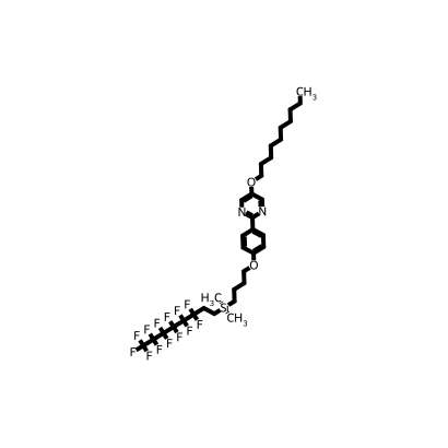 CCCCCCCCCCOc1cnc(-c2ccc(OCCCC[Si](C)(C)CCC(F)(F)C(F)(F)C(F)(F)C(F)(F)C(F)(F)C(F)(F)F)cc2)nc1